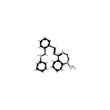 CN1CCN=C(C=Cc2ccccc2CSc2ccccc2)c2ccccc21